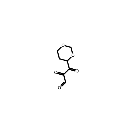 O=CC(=O)C(=O)C1CCOCO1